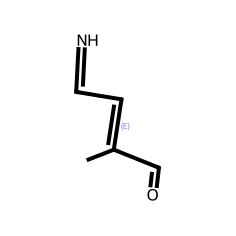 C/C(C=O)=C\C=N